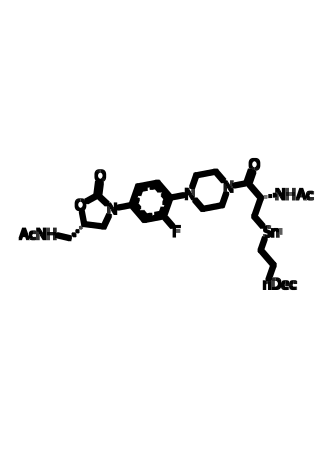 CCCCCCCCCCC[CH2][Sn][CH2][C@@H](NC(C)=O)C(=O)N1CCN(c2ccc(N3C[C@H](CNC(C)=O)OC3=O)cc2F)CC1